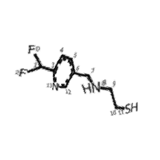 FC(F)c1ccc(CNCCS)cn1